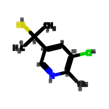 CC(C)(C)c1ncc(C(C)(C)S)cc1Cl